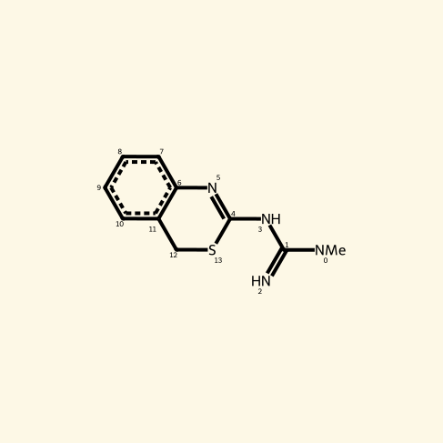 CNC(=N)NC1=Nc2ccccc2CS1